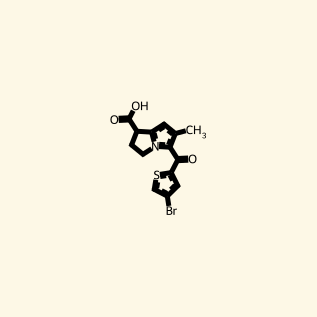 Cc1cc2n(c1C(=O)c1cc(Br)cs1)CCC2C(=O)O